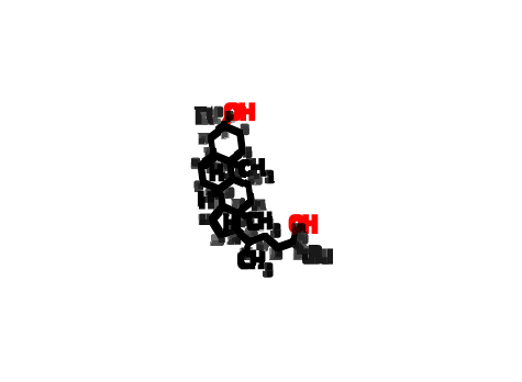 CC[C@]1(O)CC[C@@]2(C)C(=CC[C@H]3[C@@H]4CC[C@H]([C@H](C)CC[C@@H](O)C(C)(C)C)[C@@]4(C)CC[C@@H]32)C1